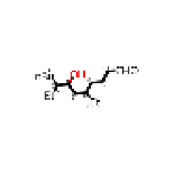 CCCCC(CC)C(O)CC(CC)CCCC=O